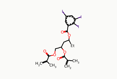 C=C(C)C(=O)OCC(CC(CC)OC(=O)c1cc(I)cc(I)c1I)OC(=O)C(=C)C